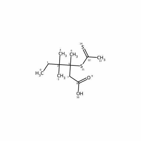 CCC(C)(C)C(C)(CC(=O)O)SC(C)=S